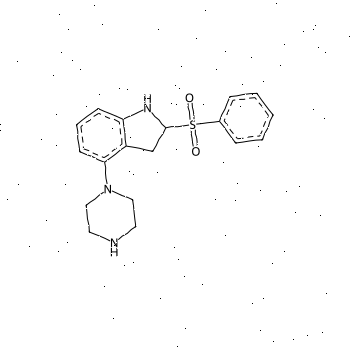 O=S(=O)(c1ccccc1)C1Cc2c(cccc2N2CCNCC2)N1